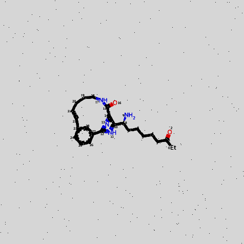 CCC(=O)CCCCC[C@H](N)c1[nH]c2nc1C(=O)NCCC/C=C/c1cccc-2c1